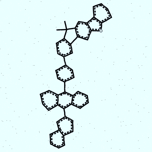 CC1(C)c2ccc(-c3ccc(-c4c5ccccc5c(-c5ccc6ccccc6c5)c5ccccc45)cc3)cc2-c2cc3oc4ccccc4c3cc21